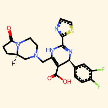 O=C(O)C1=C(CN2CCN3C(=O)CC[C@@H]3C2)NC(c2nccs2)=N[C@H]1c1ccc(F)c(F)c1